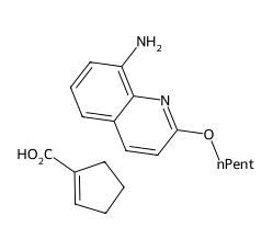 CCCCCOc1ccc2cccc(N)c2n1.O=C(O)C1=CCCC1